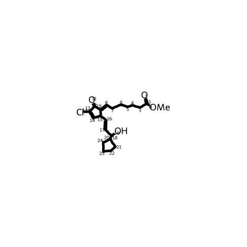 COC(=O)CCCCCC=C1C(=O)C(Cl)=CC1C=CC(O)C1CCCC1